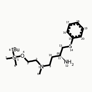 CN(CCO[Si](C)(C)C(C)(C)C)CC[C@@H](N)CSc1ccccc1